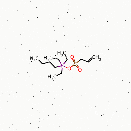 C=CCS(=O)(=O)OP(CC)(CC)(CC)CCCC